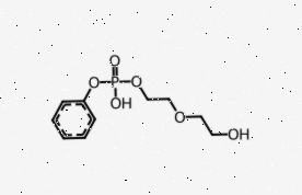 O=P(O)(OCCOCCO)Oc1ccccc1